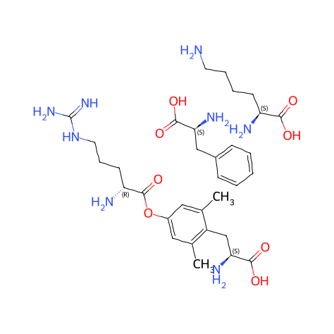 Cc1cc(OC(=O)[C@H](N)CCCNC(=N)N)cc(C)c1C[C@H](N)C(=O)O.NCCCC[C@H](N)C(=O)O.N[C@@H](Cc1ccccc1)C(=O)O